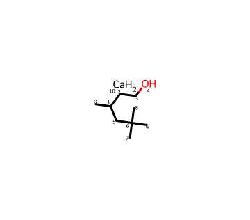 CC(CCO)CC(C)(C)C.[CaH2]